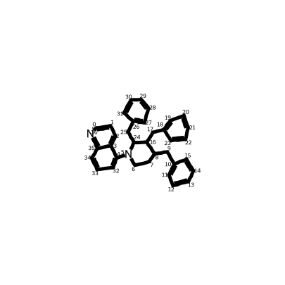 [c]1ccc2c(N3CCC(Cc4ccccc4)C(Cc4ccccc4)C3Cc3ccccc3)cccc2n1